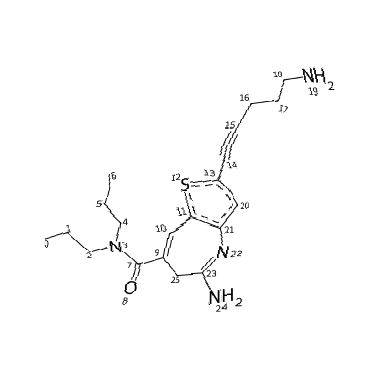 CCCN(CCC)C(=O)C1=Cc2sc(C#CCCCN)cc2N=C(N)C1